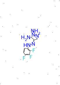 NC1C(=NNc2ccc(F)c(F)c2F)C=NN1N